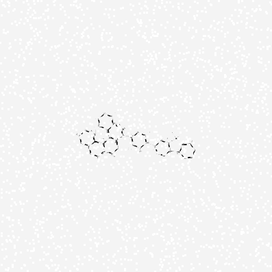 CC1(C)c2ccccc2-c2ccc(-c3ccc(-c4nc5ccccc5c5c4ccc4ccc6cccnc6c45)cc3)cc21